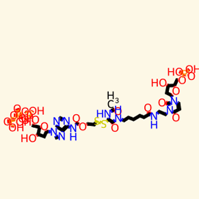 CC(=O)NC(SSCCOC(=O)Nc1ncnc2c1ncn2C1CC(O)C(COP(=O)(O)OP(=O)(O)OP(=O)(O)O)O1)C(=O)NCCCCCC(=O)NCCn1c(=O)ccn(C2CC(O)C(COP(=O)(O)O)O2)c1=O